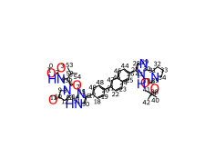 COC(=O)N[C@H](C(=O)N1CC(=O)C[C@H]1c1nc(-c2ccc(-c3ccc4cc(-c5cnc(C6CCCN6C(=O)OC(C)(C)C)[nH]5)ccc4c3)cc2)c[nH]1)C(C)C